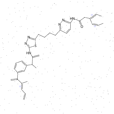 C=C/C=C(\C)C(=C)c1cccc(C(C)C(=C)Nc2nnc(CCCCc3ccc(NC(=O)CC(/C=C\C)=C/C)nn3)s2)c1